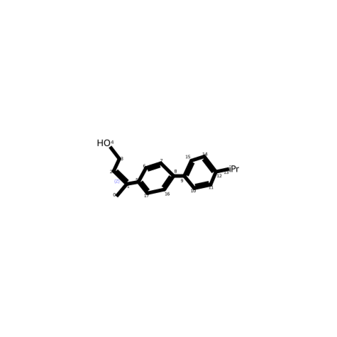 C/C(=C/CO)c1ccc(-c2ccc(C(C)C)cc2)cc1